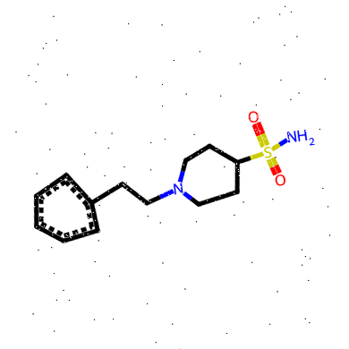 NS(=O)(=O)C1CCN(CCc2ccccc2)CC1